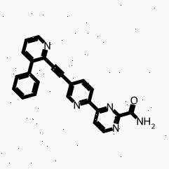 NC(=O)c1nccc(-c2ccc(C#Cc3ncccc3-c3ccccc3)cn2)n1